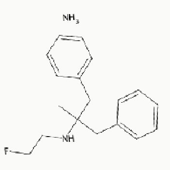 CC(Cc1ccccc1)(Cc1ccccc1)NCCF.N